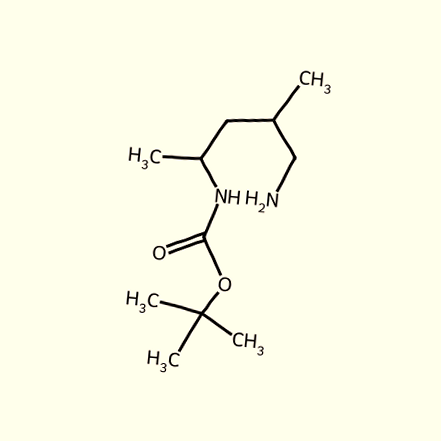 CC(CN)CC(C)NC(=O)OC(C)(C)C